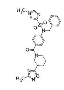 Cc1noc(C2CCCN(C(=O)c3ccc(N(Cc4ccccc4)S(=O)(=O)c4cn(C)cn4)cc3)C2)n1